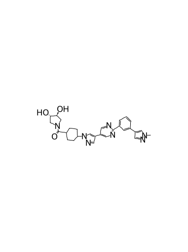 Cn1cc(-c2cccc(-c3ncc(-c4cnn(C5CCC(C(=O)N6C[C@H](O)[C@@H](O)C6)CC5)c4)cn3)c2)cn1